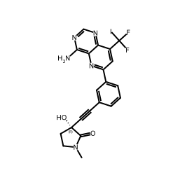 CN1CC[C@@](O)(C#Cc2cccc(-c3cc(C(F)(F)I)c4ncnc(N)c4n3)c2)C1=O